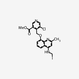 COC(=O)c1cncc(Cl)c1COc1cccc2c(NCI)cc(C)nc12